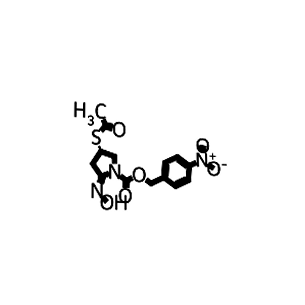 CC(=O)S[C@H]1C/C(=N/O)N(C(=O)OCc2ccc([N+](=O)[O-])cc2)C1